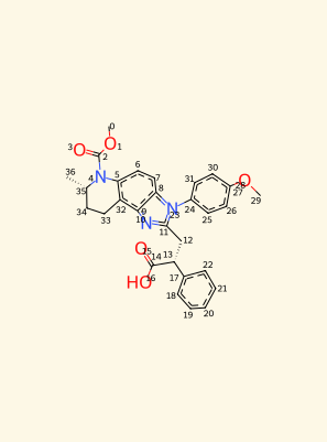 COC(=O)N1c2ccc3c(nc(C[C@@H](C(=O)O)c4ccccc4)n3-c3ccc(OC)cc3)c2CC[C@@H]1C